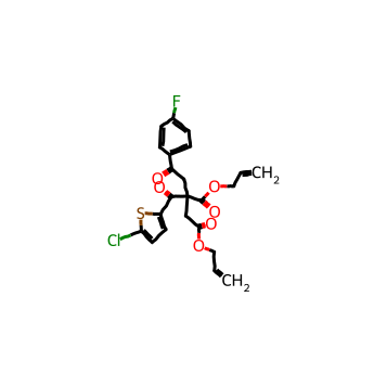 C=CCOC(=O)CC(CC(=O)c1ccc(F)cc1)(C(=O)OCC=C)C(=O)c1ccc(Cl)s1